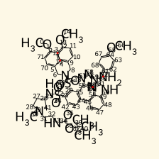 COc1ccc(CN(Cc2ccc(OC)cc2)S(=O)(=O)c2c(S(=O)(=O)N[C@H]3CC[N+](C)(CCNC(=O)OC(C)(C)C)C3)ccc(-c3cccc4[nH]c(N)nc34)c2-c2nnn(Cc3ccc(OC)cc3)n2)cc1